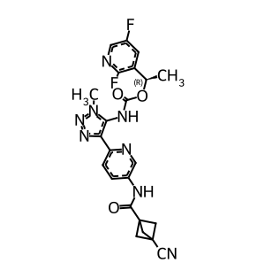 C[C@@H](OC(=O)Nc1c(-c2ccc(NC(=O)C34CC(C#N)(C3)C4)cn2)nnn1C)c1cc(F)cnc1F